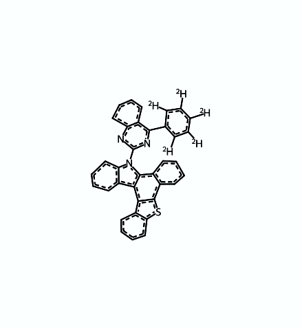 [2H]c1c([2H])c([2H])c(-c2nc(-n3c4ccccc4c4c5c6ccccc6sc5c5ccccc5c43)nc3ccccc23)c([2H])c1[2H]